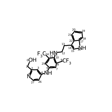 OCc1cc(Nc2cc(C(F)(F)F)c(NCCc3c[nH]c4ccccc34)c(C(F)(F)F)c2)ccn1